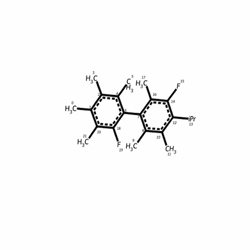 Cc1c(C)c(C)c(-c2c(C)c(C)c(C(C)C)c(F)c2C)c(F)c1C